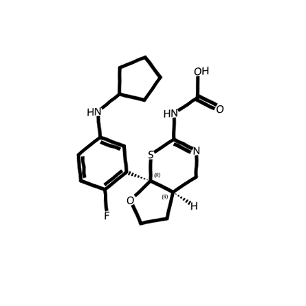 O=C(O)NC1=NC[C@H]2CCO[C@@]2(c2cc(NC3CCCC3)ccc2F)S1